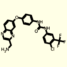 NCc1cnc2ccc(Oc3ccc(NC(=O)Nc4ccc(Cl)c(C(F)(F)F)c4)cc3)cc2n1